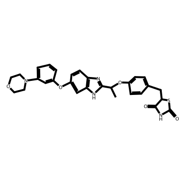 CC(Oc1ccc(CC2SC(=O)NC2=O)cc1)c1nc2ccc(Oc3cccc(N4CCOCC4)c3)cc2[nH]1